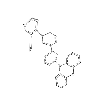 N#Cc1cnccc1C1C=C(c2cccc(N3c4ccccc4Oc4ccccc43)c2)C=CC1